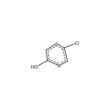 Oc1c[c]c(Cl)cn1